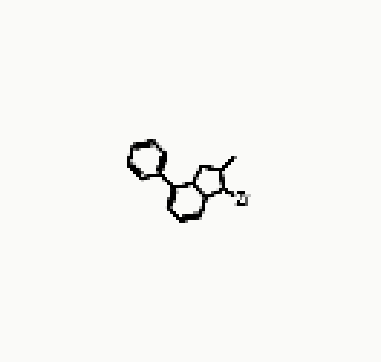 CC1CC2C(c3ccccc3)=CC=CC2[CH]1[Zr]